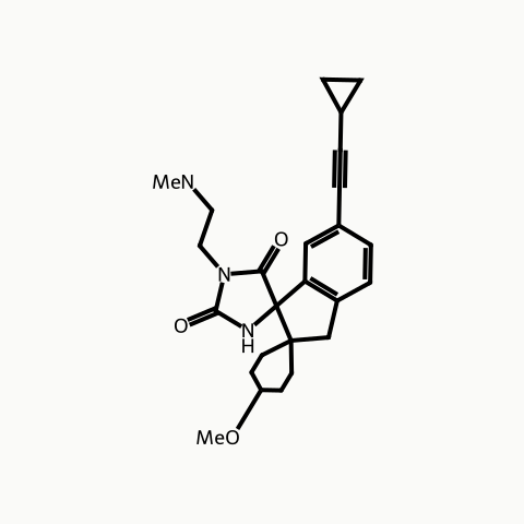 CNCCN1C(=O)NC2(C1=O)c1cc(C#CC3CC3)ccc1CC21CCC(OC)CC1